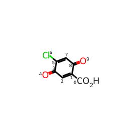 O=C(O)C1=CC(=O)C(Cl)=CC1=O